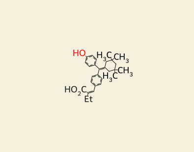 CCC(=Cc1ccc(C(=C2CC(C)(C)CC(C)(C)C2)c2ccc(O)cc2)cc1)C(=O)O